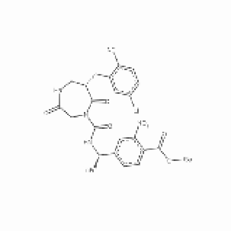 CCC[C@@H](NC(=O)N1CC(=O)NC[C@H](Cc2cc(Cl)ccc2C#N)C1=O)c1ccc(C(=O)OC(C)(C)C)c([N+](=O)[O-])c1